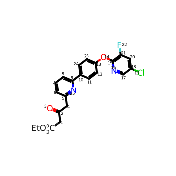 CCOC(=O)CC(=O)Cc1cccc(-c2ccc(Oc3ncc(Cl)cc3F)cc2)n1